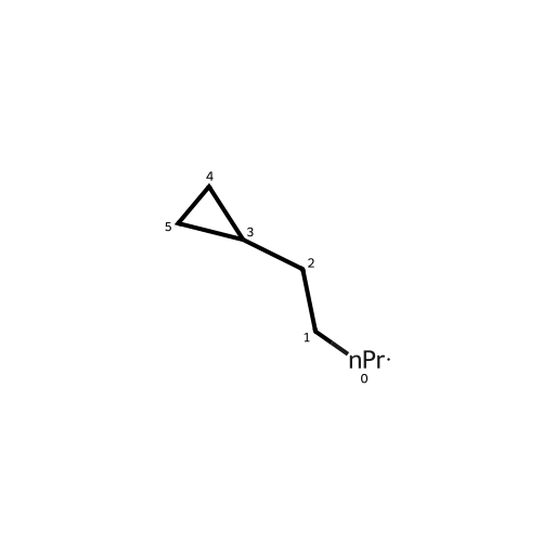 CC[CH]CCC1CC1